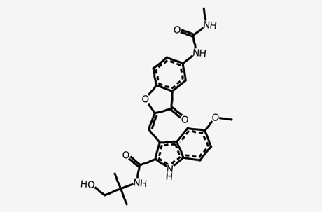 CNC(=O)Nc1ccc2c(c1)C(=O)C(=Cc1c(C(=O)NC(C)(C)CO)[nH]c3ccc(OC)cc13)O2